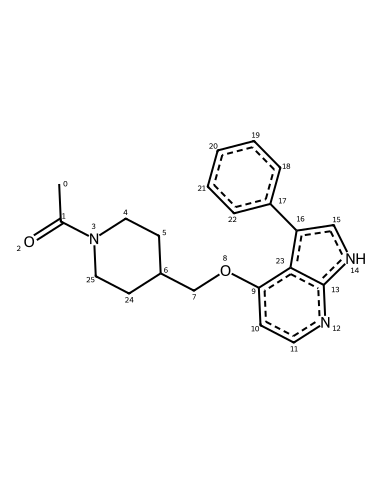 CC(=O)N1CCC(COc2ccnc3[nH]cc(-c4ccccc4)c23)CC1